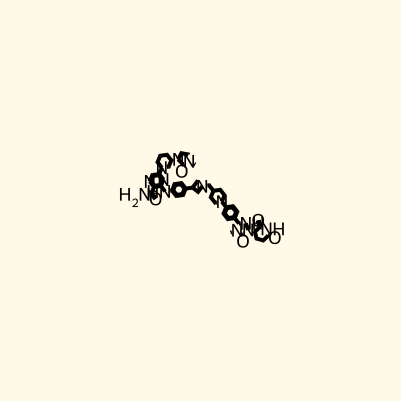 CN1CCN([C@@H]2CCCN(c3cnc(C(N)=O)c(Nc4ccc(C5CN(CC6CCN(c7ccc(C8NN(C9CCC(=O)NC9=O)C(=O)N8C)cc7)CC6)C5)cc4)n3)C2)C1=O